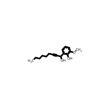 CCCCCCC#CC(O)c1cccc(OC)c1O